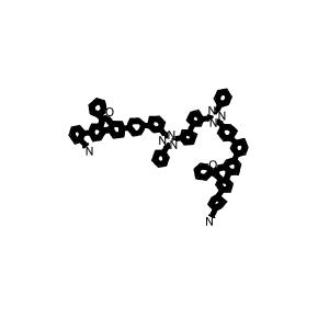 N#Cc1ccc(-c2ccc3c4ccc(-c5cccc(-c6ccc(-c7nc(-c8ccccc8)nc(-c8cccc(-c9cccc(-c%10nc(-c%11ccccc%11)nc(-c%11cccc(C%12C=CC(c%13ccc%14c%15ccc(-c%16ccccc%16C#N)cc%15c%15c%16ccccc%16oc%15c%14c%13)=CC%12)c%11)n%10)c9)c8)n7)cc6)c5)cc4c4oc5ccccc5c4c3c2)cc1